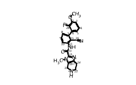 COc1cccc(-c2cccc(NC(=O)c3nc4c(n3C)CNCC4)c2C#N)c1F